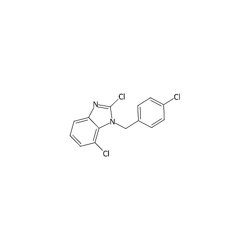 Clc1ccc(Cn2c(Cl)nc3cccc(Cl)c32)cc1